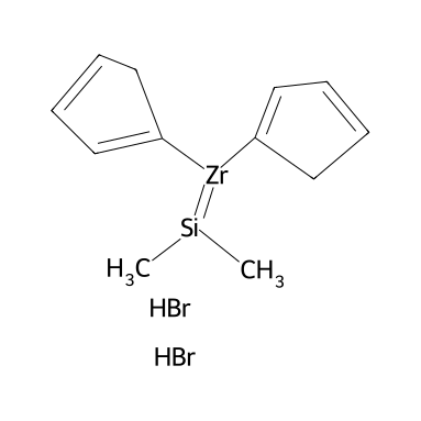 Br.Br.C[Si](C)=[Zr]([C]1=CC=CC1)[C]1=CC=CC1